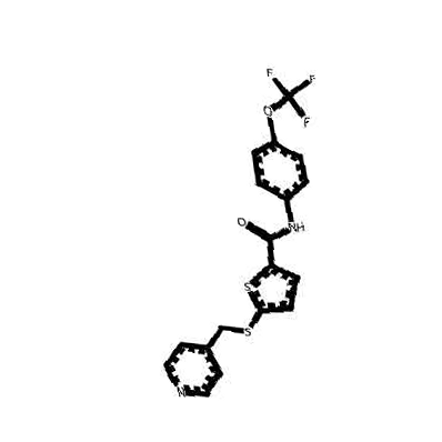 O=C(Nc1ccc(OC(F)(F)F)cc1)c1ccc(SCc2ccncc2)s1